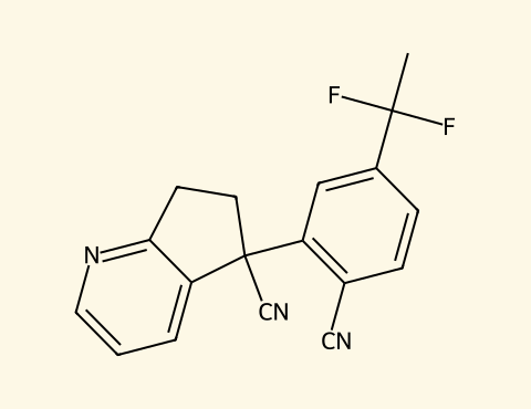 CC(F)(F)c1ccc(C#N)c(C2(C#N)CCc3ncccc32)c1